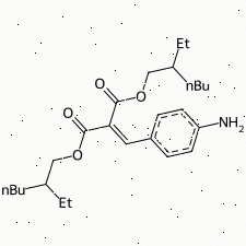 CCCCC(CC)COC(=O)C(=Cc1ccc(N)cc1)C(=O)OCC(CC)CCCC